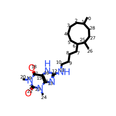 CC1CCCCC(CCCCNc2nc3c([nH]2)c(=O)n(C)c(=O)n3C)C(C)CC1